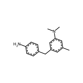 Cc1cc(Cc2ccc(N)cc2)cc(N(C)C)c1